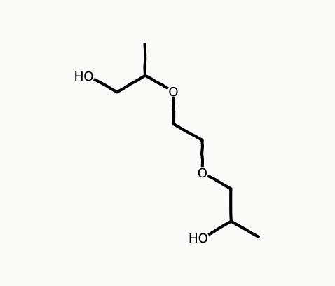 CC(O)COCCOC(C)CO